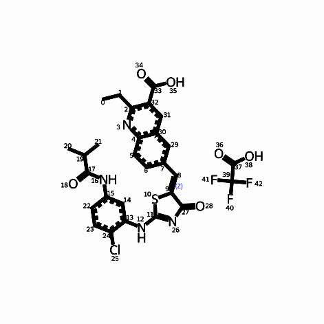 CCc1nc2ccc(/C=C3\SC(Nc4cc(NC(=O)C(C)C)ccc4Cl)=NC3=O)cc2cc1C(=O)O.O=C(O)C(F)(F)F